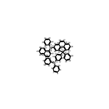 c1ccc(N(c2ccccc2)c2ccc(C3(c4ccccc4)c4cccc5ccc6cc(N(c7ccccc7)c7cccc8ccccc78)cc3c6c45)cc2)cc1